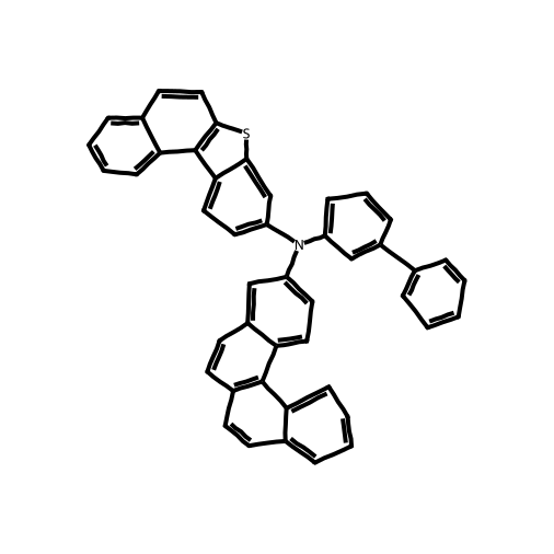 c1ccc(-c2cccc(N(c3ccc4c(ccc5ccc6ccccc6c54)c3)c3ccc4c(c3)sc3ccc5ccccc5c34)c2)cc1